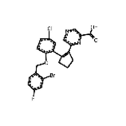 O=C(O)c1cncc(C2=C(c3cc(Cl)ccc3OCc3ccc(F)cc3Br)CCC2)n1